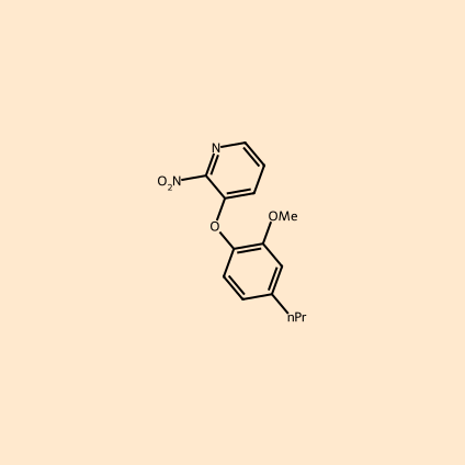 CCCc1ccc(Oc2cccnc2[N+](=O)[O-])c(OC)c1